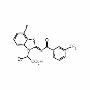 CCC(C(=O)O)n1/c(=N/C(=O)c2cccc(C(F)(F)F)c2)sc2c(F)cccc21